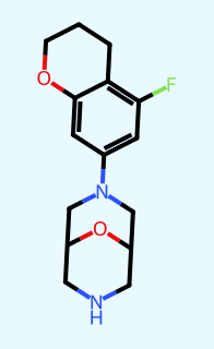 Fc1cc(N2CC3CNCC(C2)O3)cc2c1CCCO2